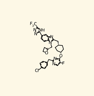 Fc1cnc(Cc2ccc(Cl)cc2)nc1O[C@H]1CC[C@H](Cc2nc3cc(-c4nnc(C(F)(F)F)[nH]4)ccc3n2C[C@@H]2CCO2)CC1